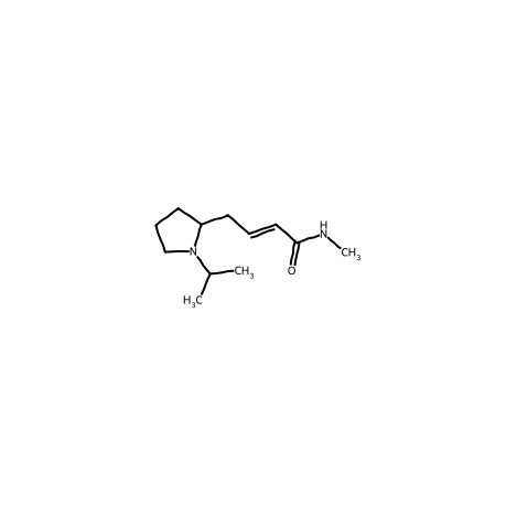 CNC(=O)/C=C/CC1CCCN1C(C)C